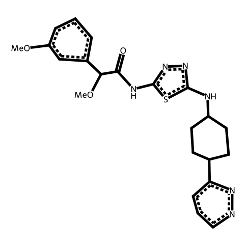 COc1cccc(C(OC)C(=O)Nc2nnc(NC3CCC(c4cccnn4)CC3)s2)c1